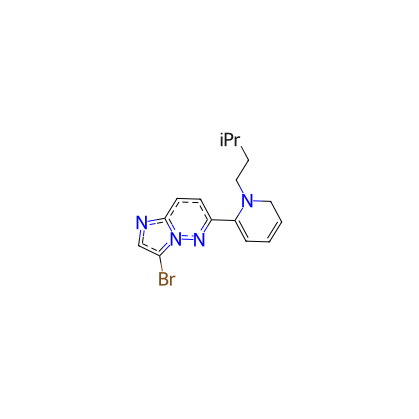 CC(C)CCN1CC=CC=C1c1ccc2ncc(Br)n2n1